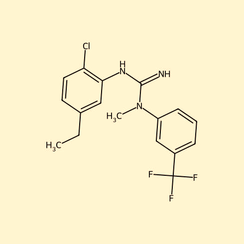 CCc1ccc(Cl)c(NC(=N)N(C)c2cccc(C(F)(F)F)c2)c1